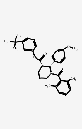 COc1ccc([C@H]2[C@@H](C(=O)Nc3cccc(C(C)(C)C)c3)CCCN2C(=O)c2c(C)cccc2C)cc1